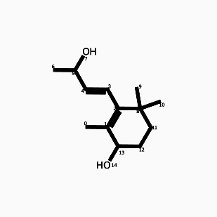 CC1=C(C=CC(C)O)C(C)(C)CCC1O